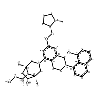 CN1CCC[C@H]1COc1nc2c(c(N3C[C@@H]4C[C@@H](O)[C@H](C3)N4C(=O)OC(C)(C)C)n1)CCN(c1cccc3cccc(Cl)c13)C2